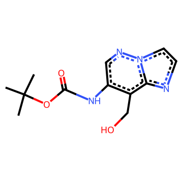 CC(C)(C)OC(=O)Nc1cnn2ccnc2c1CO